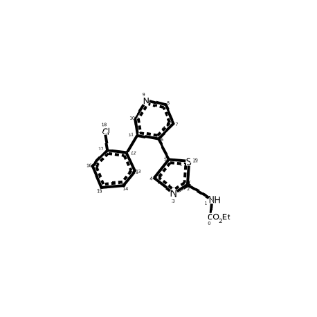 CCOC(=O)Nc1ncc(-c2ccncc2-c2ccccc2Cl)s1